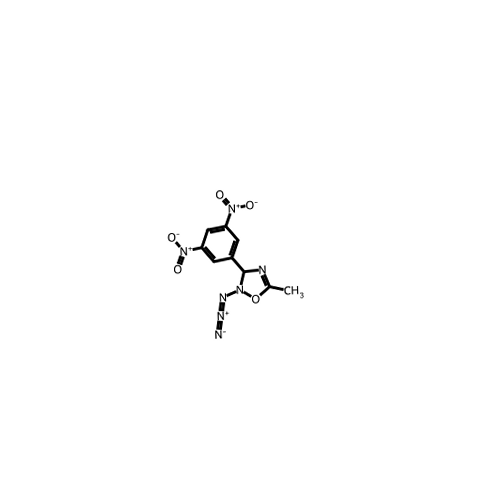 CC1=NC(c2cc([N+](=O)[O-])cc([N+](=O)[O-])c2)N(N=[N+]=[N-])O1